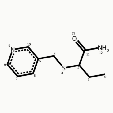 CCC(SCc1cccnc1)C(N)=O